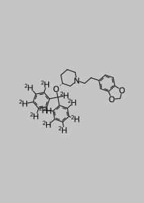 [2H]c1c([2H])c([2H])c(C([2H])(O[C@@H]2CCCN(CCc3ccc4c(c3)OCO4)C2)c2c([2H])c([2H])c([2H])c([2H])c2[2H])c([2H])c1[2H]